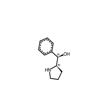 O[C@H](c1ccccc1)[C@H]1CCCN1